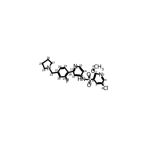 COc1ncc(Cl)cc1S(=O)(=O)Nc1ccnc(-c2ccc(CN3CCCC3)cc2F)c1